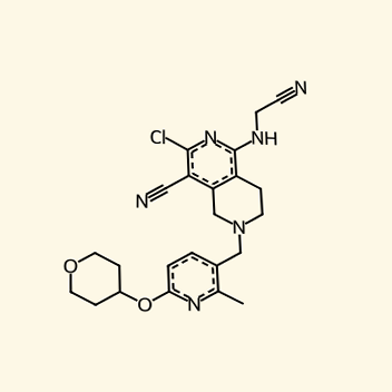 Cc1nc(OC2CCOCC2)ccc1CN1CCc2c(NCC#N)nc(Cl)c(C#N)c2C1